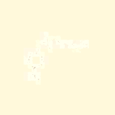 CC(C)(CCCCCl)Cc1ccc(C(F)(F)F)cc1